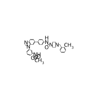 Cc1ccccc1CN1CCN(C(=O)Nc2ccc(-c3ccc4ncn(-c5cccc(NS(C)(=O)=O)c5)c4c3)cc2)CC1